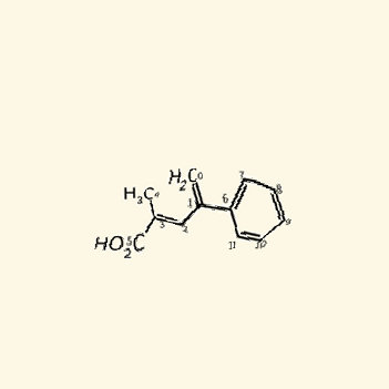 C=C(C=C(C)C(=O)O)c1ccccc1